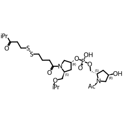 CC(=O)N1C[C@H](O)C[C@H]1COP(=O)(O)O[C@@H]1C[C@@H](COC(C)C)N(C(=O)CCCSSCCC(=O)C(C)C)C1